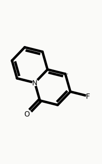 O=c1cc(F)[c]c2ccccn12